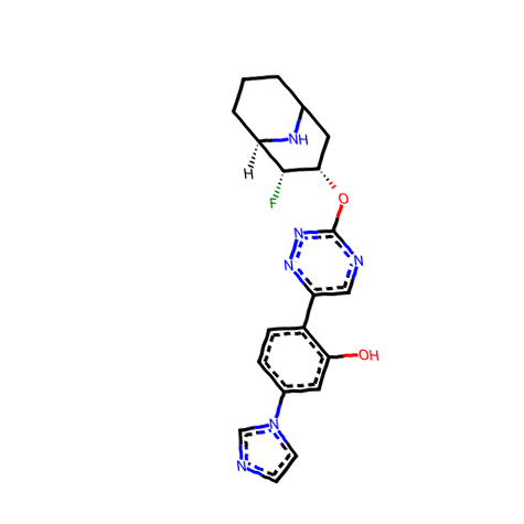 Oc1cc(-n2ccnc2)ccc1-c1cnc(O[C@H]2CC3CCC[C@@H](N3)[C@H]2F)nn1